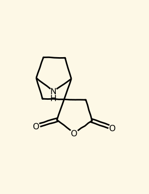 O=C1CC2(CC3CCC2N3)C(=O)O1